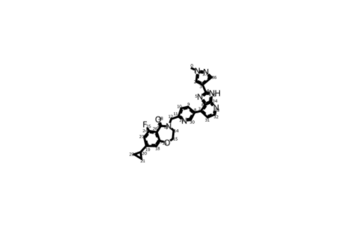 Cn1cc(-c2nc3c(-c4ccc(CN5CCOc6cc(C7CC7)cc(F)c6C5=O)nc4)ccnc3[nH]2)cn1